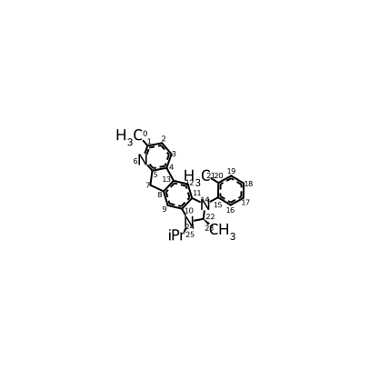 Cc1ccc2c(n1)Cc1cc3c(cc1-2)N(c1ccccc1C)[C@@H](C)N3C(C)C